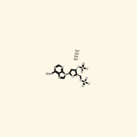 CNc1ncnc2c1ncn2[C@H]1C[C@H](OP(=O)([O-])[O-])[C@@H](COP(=O)([O-])[O-])O1.[Na+].[Na+].[Na+].[Na+]